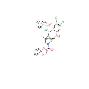 CC1(C)OC[C@H](C(=O)N2C[C@@H]3C(C(N[S+]([O-])C(C)(C)C)c4cc(Cl)c(Cl)cc4O)[C@@H]3C2)O1